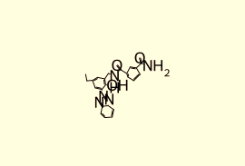 CCc1cc(CNC(=O)c2cccc(C(N)=O)c2)c(O)c(-n2nc3ccccc3n2)c1